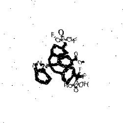 COC(=O)c1ccc(C(Cc2ccc(CP(=O)(OF)OF)cc2)(Cc2ccc(C(F)(F)P(=O)(O)O)cc2)n2nnc3ccccc32)cc1